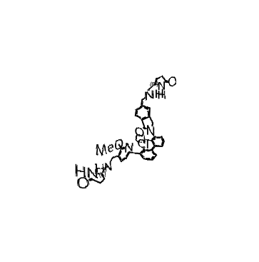 COc1nc(-c2cccc(-c3cccc(N4Cc5cc(CNC[C@H]6CCC(=O)N6)ccc5C4=O)c3Cl)c2Cl)ccc1CNC[C@H]1CCC(=O)N1